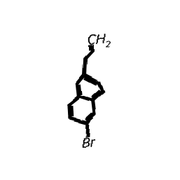 C=CCc1ccc2cc(Br)ccc2c1